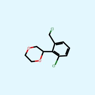 ClCc1cccc(Cl)c1C1COCCO1